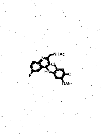 COc1cc(Nc2cc(CNC(C)=O)nc3ccc(F)cc23)c(Cl)cc1Cl